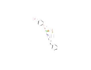 Cl.Oc1ccc(OCC(O)CNCCCc2ccccc2)cc1